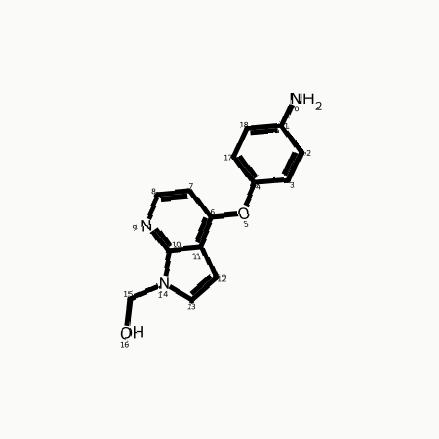 Nc1ccc(Oc2ccnc3c2ccn3CO)cc1